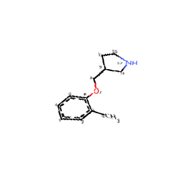 Cc1ccccc1OCC1CCNC1